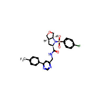 O=C(NCc1cc(-c2ccc(C(F)(F)F)cc2)ncn1)[C@H]1C[C@H]2COC[C@H]2N1S(=O)(=O)c1ccc(F)cc1